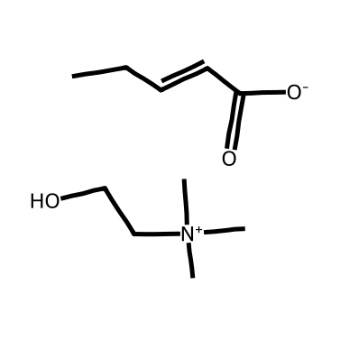 CCC=CC(=O)[O-].C[N+](C)(C)CCO